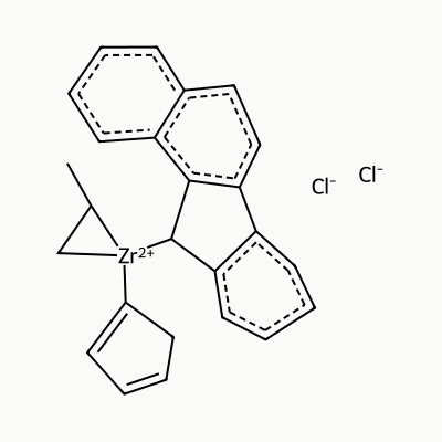 C[CH]1[CH2][Zr+2]1([C]1=CC=CC1)[CH]1c2ccccc2-c2ccc3ccccc3c21.[Cl-].[Cl-]